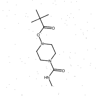 CNC(=O)N1CCN(OC(=O)C(C)(C)C)CC1